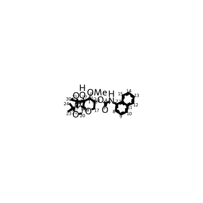 CO[C@@H]1[C@H](OC(=O)Nc2cccc3ccccc23)CO[C@]2(COC(C)(C)O2)[C@@]1(O)C1(C)CO1